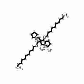 CCCCCCCCCCOCC(COCCCCCCCCCC)(C[N+]1(C)CCCC1)C[N+]1(C)CCCC1.[I-].[I-]